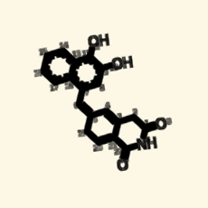 O=C1CC2=CC(=Cc3cc(O)c(O)c4ccccc34)CC=C2C(=O)N1